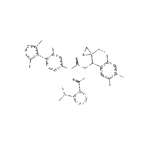 Cc1c[nH]c(C)c1-c1ncc(NC(=O)[C@@H](NC(=O)c2nonc2C(C)C)C2c3cc(F)c(F)cc3OCC23CC3)cc1F